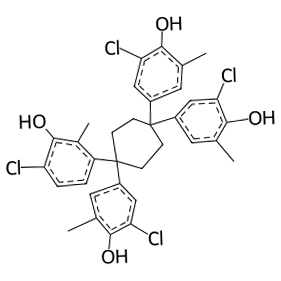 Cc1cc(C2(c3cc(C)c(O)c(Cl)c3)CCC(c3cc(C)c(O)c(Cl)c3)(c3ccc(Cl)c(O)c3C)CC2)cc(Cl)c1O